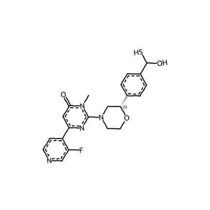 Cn1c(N2CCO[C@@H](c3ccc(C(O)S)cc3)C2)nc(-c2ccncc2F)cc1=O